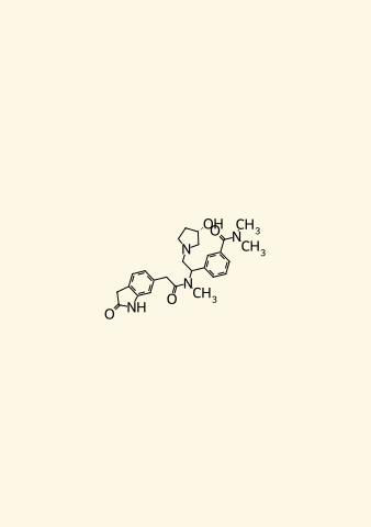 CN(C)C(=O)c1cccc(C(CN2CC[C@H](O)C2)N(C)C(=O)Cc2ccc3c(c2)NC(=O)C3)c1